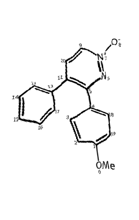 COc1ccc(-c2n[n+]([O-])ccc2-c2ccccc2)cc1